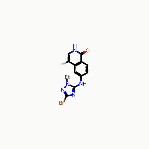 CCn1nc(Br)nc1Nc1ccc2c(=O)[nH]cc(F)c2c1